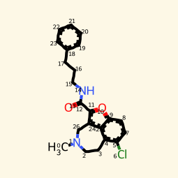 CN1CCc2c(Cl)ccc3oc(C(=O)NCCCc4ccccc4)c(c23)C1